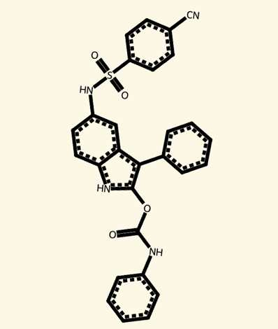 N#Cc1ccc(S(=O)(=O)Nc2ccc3[nH]c(OC(=O)Nc4ccccc4)c(-c4ccccc4)c3c2)cc1